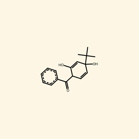 CC(C)(C)C1(O)C=CC(C(=O)c2ccccc2)C(O)=C1